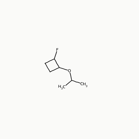 CC(C)OC1CCC1F